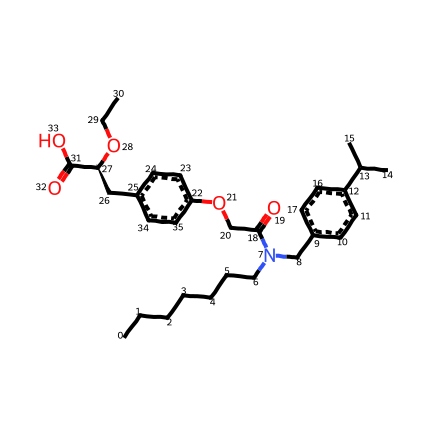 CCCCCCCN(Cc1ccc(C(C)C)cc1)C(=O)COc1ccc(C[C@H](OCC)C(=O)O)cc1